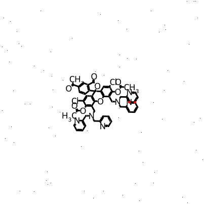 CC(=O)Oc1c(Cl)cc2c(c1CN(Cc1ccccn1)Cc1ccccn1)Oc1c(cc(Cl)c(OC(C)=O)c1CN(Cc1ccccn1)Cc1ccccn1)C21OC(=O)c2cc(C(C)=O)ccc21